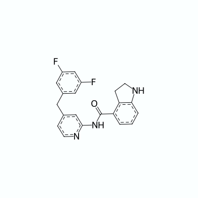 O=C(Nc1cc(Cc2cc(F)cc(F)c2)ccn1)c1cccc2c1CCN2